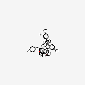 COc1ccc(S(=O)(=O)N2C(=O)C(c3cc(CN4CCN(C)CC4)ccc3OC)(N3CCC[C@H]3c3ncco3)c3cc(Cl)ccc32)cc1F